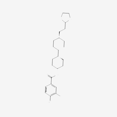 O=C(O[C@H]1CC[C@H]([C@H]2CC[C@H](CCC3OCCO3)CC2)CC1)c1ccc(Cl)c(F)c1